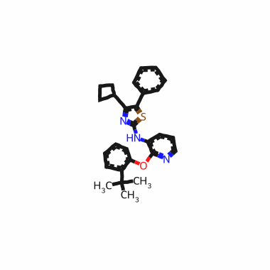 CC(C)(C)c1ccccc1Oc1ncccc1Nc1nc(C2CCC2)c(-c2ccccc2)s1